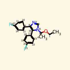 CCOC(C)n1cnc(-c2ccc(F)cc2)c1-c1ccc(F)cc1